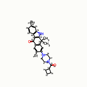 CCc1cc2c(cc1N1CCN(C(=O)C3CCC3)CC1)C(C)(C)c1[nH]c3cc(C(C)CC)ccc3c1C2=O